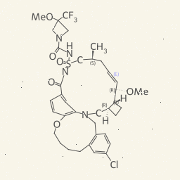 CO[C@H]1/C=C/C[C@H](C)CS(=O)(NC(=O)N2CC(OC)(C(F)(F)F)C2)=NC(=O)c2ccc3c(c2)N(Cc2ccc(Cl)cc2CCCCO3)C[C@@H]2CC[C@H]21